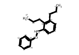 CCCc1cccc(POc2ccccc2)c1CCC